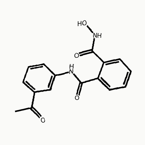 CC(=O)c1cccc(NC(=O)c2ccccc2C(=O)NO)c1